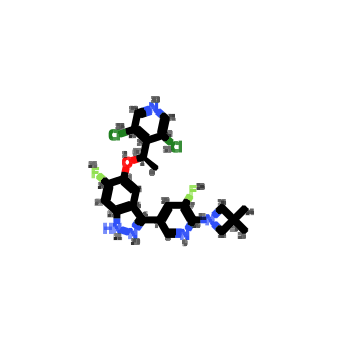 C[C@@H](Oc1cc2c(-c3cnc(N4CC(C)(C)C4)c(F)c3)n[nH]c2cc1F)c1c(Cl)cncc1Cl